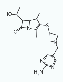 CC1=C(SC2CN(Cc3cnc(N)nc3)C2)C(C)C2C(C(C)O)C(=O)N12